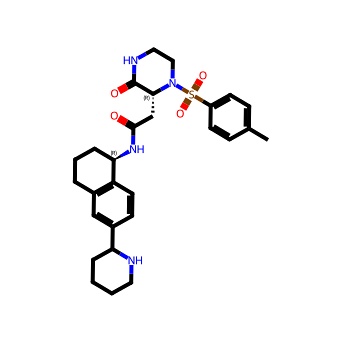 Cc1ccc(S(=O)(=O)N2CCNC(=O)[C@H]2CC(=O)N[C@@H]2CCCc3cc(C4CCCCN4)ccc32)cc1